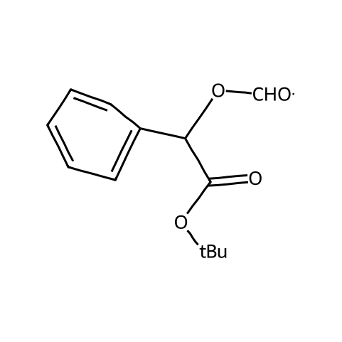 CC(C)(C)OC(=O)C(O[C]=O)c1ccccc1